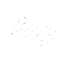 C[Si](C)(C)c1ccccc1N(c1ccccc1C#N)c1ccc2ccc3c(N(c4ccccc4C#N)c4ccccc4C#N)ccc4ccc1c2c43